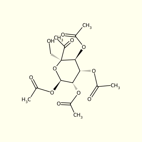 CC(=O)O[C@H]1O[C@@](CO)(C(C)=O)[C@@H](OC(C)=O)[C@H](OC(C)=O)[C@@H]1OC(C)=O